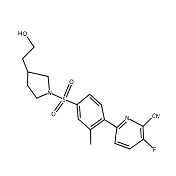 Cc1cc(S(=O)(=O)N2CCC(CCO)C2)ccc1-c1ccc(F)c(C#N)n1